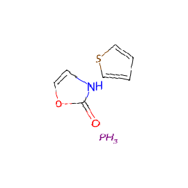 O=c1[nH]cco1.P.c1ccsc1